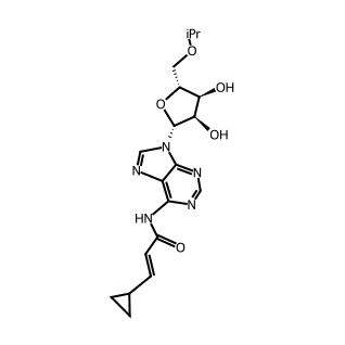 CC(C)OC[C@H]1O[C@@H](n2cnc3c(NC(=O)/C=C/C4CC4)ncnc32)[C@H](O)[C@@H]1O